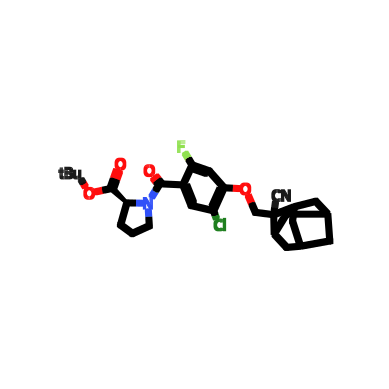 CC(C)(C)OC(=O)[C@@H]1CCCN1C(=O)c1cc(Cl)c(OCC2(C#N)C3CC4CC(C3)CC2C4)cc1F